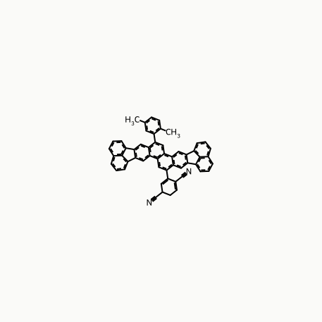 Cc1ccc(C)c(-c2cc3c4cc5c(cc4c(C4=CC(C#N)CC=C4C#N)cc3c3cc4c(cc23)-c2cccc3cccc-4c23)-c2cccc3cccc-5c23)c1